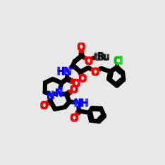 CC(C)(C)OC(=O)CC(NC(=O)C1CCCN2C(=O)CCC(NC(=O)c3ccccc3)C(=O)N12)C(=O)COCc1ccccc1Cl